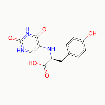 O=C(O)[C@H](Cc1ccc(O)cc1)Nc1c[nH]c(=O)[nH]c1=O